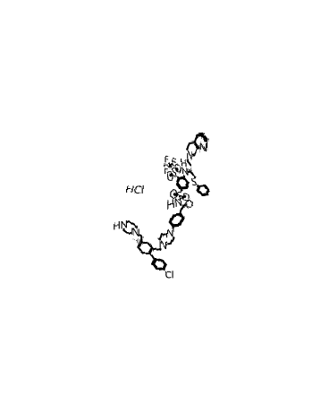 C[C@@]1(CN2CCNCC2)CCC(c2ccc(Cl)cc2)=C(CN2CCN(c3ccc(C(=O)NS(=O)(=O)c4ccc(N[C@H](CCN5CCc6cccnc6C5)CSc5ccccc5)c(S(=O)(=O)C(F)(F)F)c4)cc3)CC2)C1.Cl